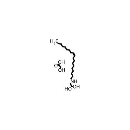 CCCCCCCC/C=C\CCCCCCCCCNCC(O)O.O=C(O)CO